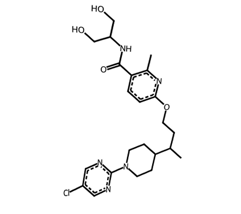 Cc1nc(OCCC(C)C2CCN(c3ncc(Cl)cn3)CC2)ccc1C(=O)NC(CO)CO